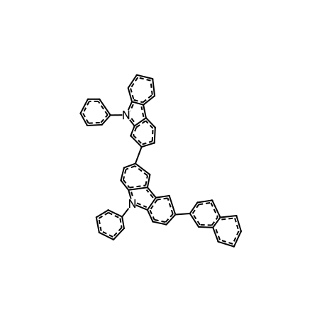 c1ccc(-n2c3ccc(-c4ccc5ccccc5c4)cc3c3cc(-c4ccc5c6ccccc6n(-c6ccccc6)c5c4)ccc32)cc1